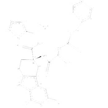 CCC(C)C(NC(=O)OCc1ccccc1)C(=O)N[C@]1(C(=O)N[C@H](c2nnco2)[C@@H](C)CC)CCc2[nH]c3c(Cl)cc(Cl)cc3c2C1